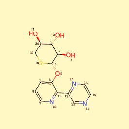 O[C@@H]1[C@@H](O)[C@H](Oc2cccnc2-c2cnccn2)SC[C@H]1O